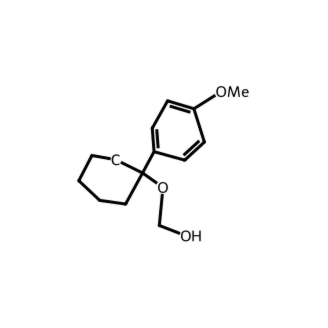 COc1ccc(C2(OCO)CCCCC2)cc1